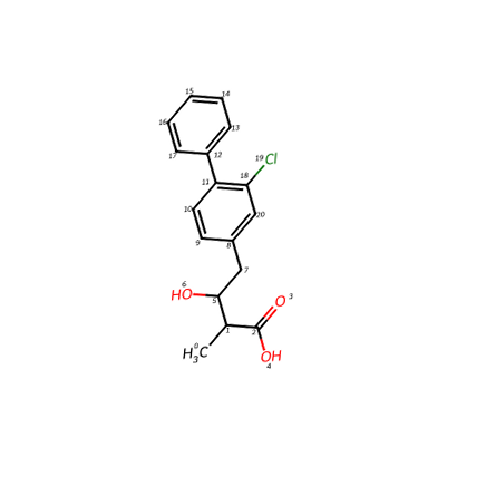 CC(C(=O)O)C(O)Cc1ccc(-c2ccccc2)c(Cl)c1